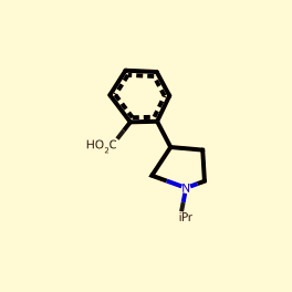 CC(C)N1CCC(c2ccccc2C(=O)O)C1